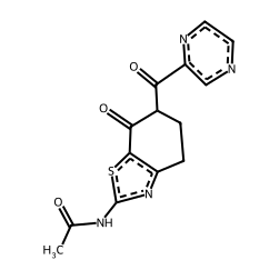 CC(=O)Nc1nc2c(s1)C(=O)C(C(=O)c1cnccn1)CC2